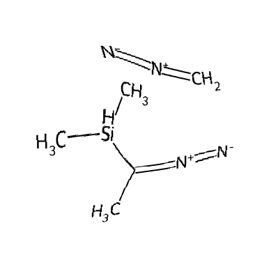 C=[N+]=[N-].CC(=[N+]=[N-])[SiH](C)C